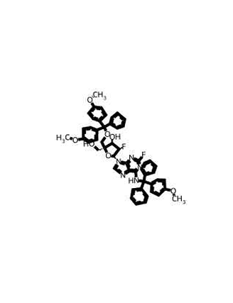 COc1ccc(C(Nc2nc(F)nc3c2ncn3[C@@H]2O[C@@](CO)(COC(c3ccccc3)(c3ccc(OC)cc3)c3ccc(OC)cc3)[C@@H](O)[C@@H]2F)(c2ccccc2)c2ccccc2)cc1